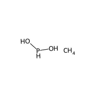 C.OPO